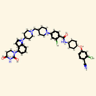 N#Cc1ccc(O[C@H]2CC[C@H](NC(=O)c3ccc(N4CCC(CN5CCC(n6ccc7c(N8CCC(=O)NC8=O)cccc76)CC5)CC4)cc3F)CC2)cc1Cl